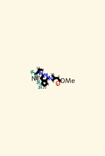 COC(=O)CC1CN(c2nc(N3CCC3C(F)F)c(C#N)c3c2CCC3(F)F)C1